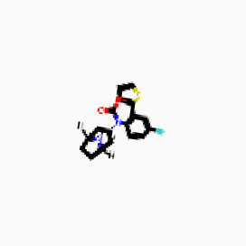 CN1[C@@H]2CC[C@H]1C[C@@H](N(C(=O)O)c1ccc(F)cc1-c1cccs1)C2